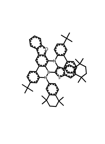 CC(C)(C)c1ccc(N2c3c(sc4cc5c(cc34)C(C)(C)CCC5(C)C)B3c4c(cc5c(oc6ccccc65)c42)-c2ccc(C(C)(C)C)cc2N3c2ccc3c(c2)C(C)(C)CCC3(C)C)c(-c2ccccc2)c1